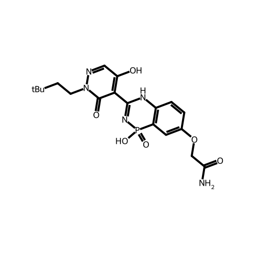 CC(C)(C)CCn1ncc(O)c(C2=NP(=O)(O)c3cc(OCC(N)=O)ccc3N2)c1=O